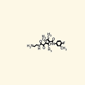 Cc1cc(NC(=O)c2c(C)c(C(=O)C(=O)NCCN)n(C)c2C)ccc1F